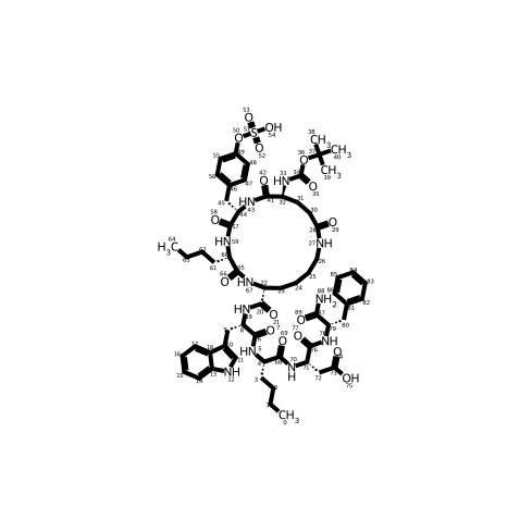 CCCC[C@H](NC(=O)[C@H](Cc1c[nH]c2ccccc12)NC(=O)[C@H]1CCCCNC(=O)CC[C@H](NC(=O)OC(C)(C)C)C(=O)N[C@@H](Cc2ccc(OS(=O)(=O)O)cc2)C(=O)N[C@@H](CCCC)C(=O)N1)C(=O)N[C@@H](CC(=O)O)C(=O)N[C@@H](Cc1ccccc1)C(N)=O